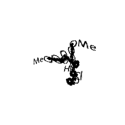 COCCOCCOC(=O)CCC(=Nc1ccccc1Nc1ccc(C(=O)c2ccccc2C)c(Cl)c1)OCCOCCOC